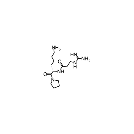 N=C(N)NCCC(=O)N[C@@H](CCCCN)C(=O)N1CCCC1